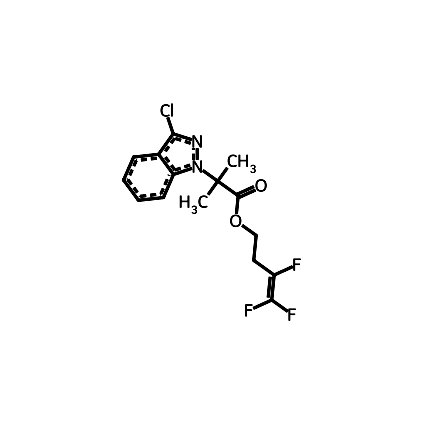 CC(C)(C(=O)OCCC(F)=C(F)F)n1nc(Cl)c2ccccc21